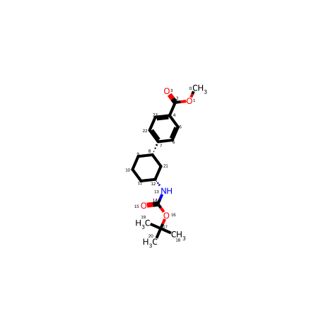 COC(=O)c1ccc([C@H]2CCC[C@@H](NC(=O)OC(C)(C)C)C2)cc1